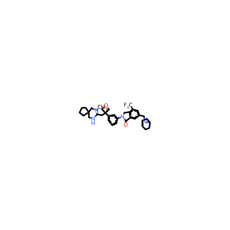 CN1CC2(CCCC2)CNC1CC1(c2cccc(N3Cc4c(cc(CN5C6CCC5CC6)cc4C(F)(F)F)C3=O)c2)COC1